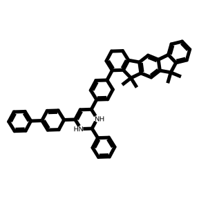 CC1(C)C2=C(CCC=C2C2C=CC(C3C=C(C4C=CC(c5ccccc5)=CC4)NC(c4ccccc4)N3)=CC2)c2cc3c(cc21)C(C)(C)c1ccccc1-3